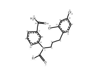 CCC(=O)N(CCCc1ncc(C(F)(F)F)cc1Cl)c1cc(C(N)=O)ccn1